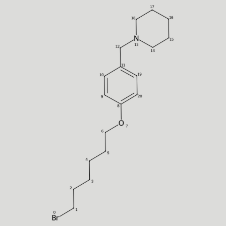 BrCCCCCCOc1ccc(CN2CCCCC2)cc1